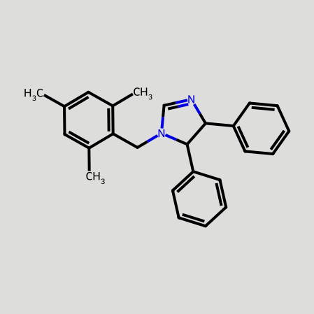 Cc1cc(C)c(CN2C=NC(c3ccccc3)C2c2ccccc2)c(C)c1